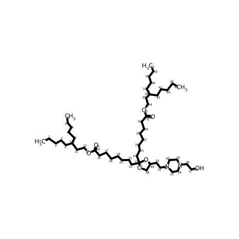 CCCCCC(CCCCC)CCOC(=O)CCCCCCCC1(CCCCCCCC(=O)OCCC(CCCCC)CCCCC)OCC(CCN2CCN(CCO)CC2)O1